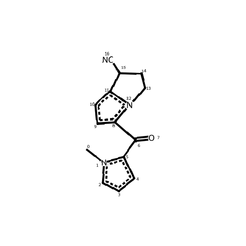 Cn1cccc1C(=O)c1ccc2n1CCC2C#N